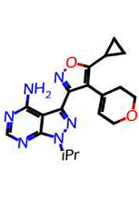 CC(C)n1nc(-c2noc(C3CC3)c2C2=CCOCC2)c2c(N)ncnc21